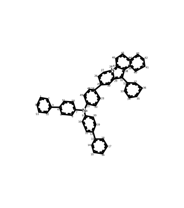 c1ccc(-c2ccc(N(c3ccc(-c4ccccc4)cc3)c3ccc(-c4ccn5c(c4)c(-c4ccccc4)c4c6ccccc6ccc45)cc3)cc2)cc1